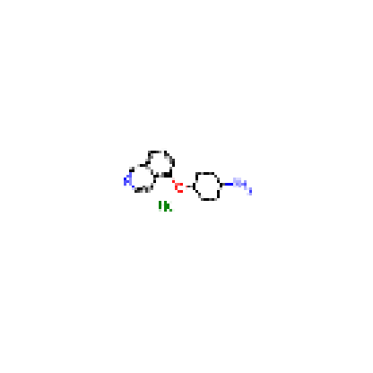 Cl.N[C@H]1CC[C@H](Oc2cccc3cnccc23)CC1